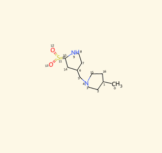 CC1CCN(CC2CCNC(=S(=O)=O)C2)CC1